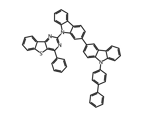 c1ccc(-c2ccc(-n3c4ccccc4c4cc(-c5ccc6c7ccccc7n(-c7nc(-c8ccccc8)c8sc9ccccc9c8n7)c6c5)ccc43)cc2)cc1